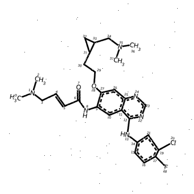 CN(C)C/C=C/C(=O)Nc1cc2c(Nc3ccc(F)c(Cl)c3)ncnc2cc1OCCC1CC1CN(C)C